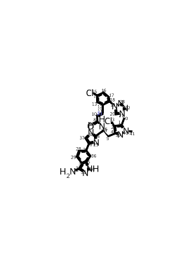 Cc1c(Cl)c(C[C@H](NC(=O)/C=C/c2cc(Cl)ccc2-n2cnnn2)c2nc(-c3ccc4c(N)n[nH]c4c3)c[nH]2)nn1C